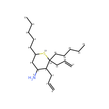 C=CCC1C(N)CC(CCCCC)SC1(CC=C)CCCCC